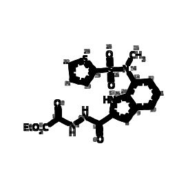 CCOC(=O)C(=O)NNC(=O)c1cc2cccc(N(C)S(=O)(=O)c3cccs3)c2[nH]1